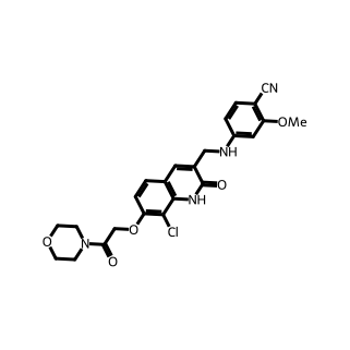 COc1cc(NCc2cc3ccc(OCC(=O)N4CCOCC4)c(Cl)c3[nH]c2=O)ccc1C#N